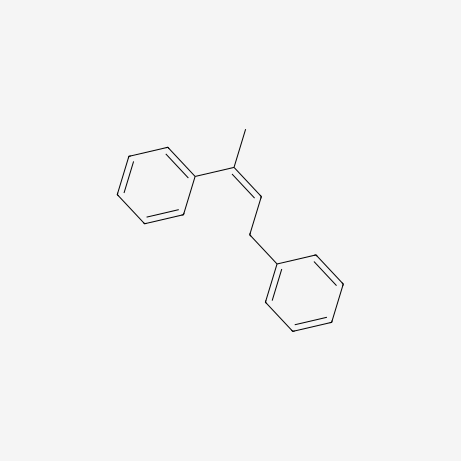 CC(=CCc1ccccc1)c1ccccc1